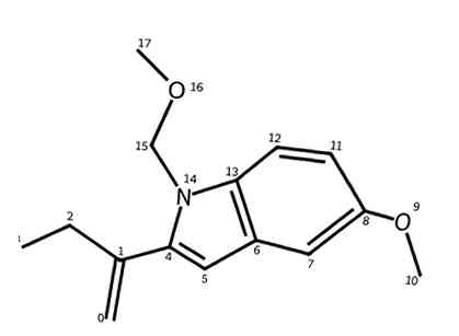 C=C(CC)c1cc2cc(OC)ccc2n1COC